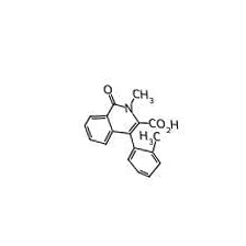 Cc1ccccc1-c1c(C(=O)O)n(C)c(=O)c2ccccc12